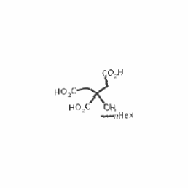 CCCCCCC.O=C(O)CC(O)(CC(=O)O)C(=O)O